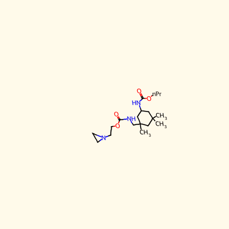 CCCOC(=O)NC1CC(C)(C)CC(C)(CNC(=O)OCCN2CC2)C1